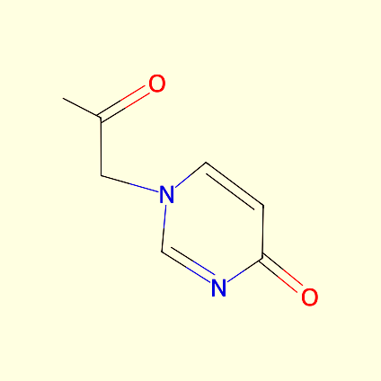 CC(=O)Cn1ccc(=O)nc1